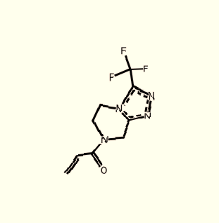 C=CC(=O)N1CCn2c(nnc2C(F)(F)F)C1